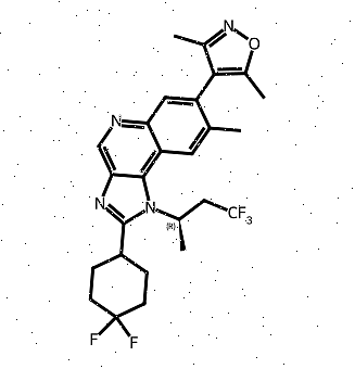 Cc1cc2c(cc1-c1c(C)noc1C)ncc1nc(C3CCC(F)(F)CC3)n([C@H](C)CC(F)(F)F)c12